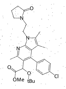 COC(=O)C(OC(C)(C)C)c1c(C)nc2c(c(C)c(C)n2CCN2CCCC2=O)c1-c1ccc(Cl)cc1